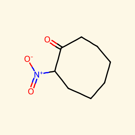 O=C1CCCCCCC1[N+](=O)[O-]